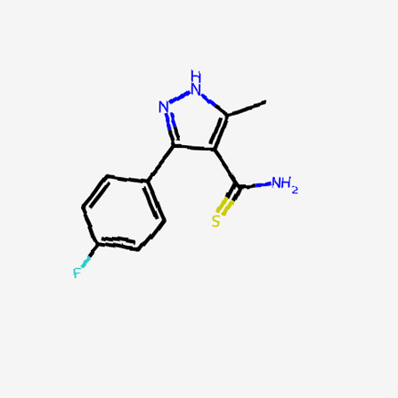 Cc1[nH]nc(-c2ccc(F)cc2)c1C(N)=S